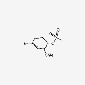 COC1C=C(Br)CCC1OS(C)(=O)=O